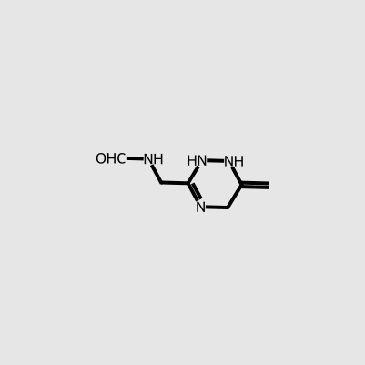 C=C1CN=C(CNC=O)NN1